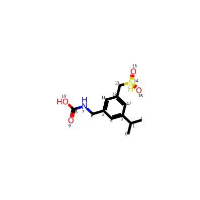 CC(C)c1cc(CNC(=O)O)cc(C[SH](=O)=O)c1